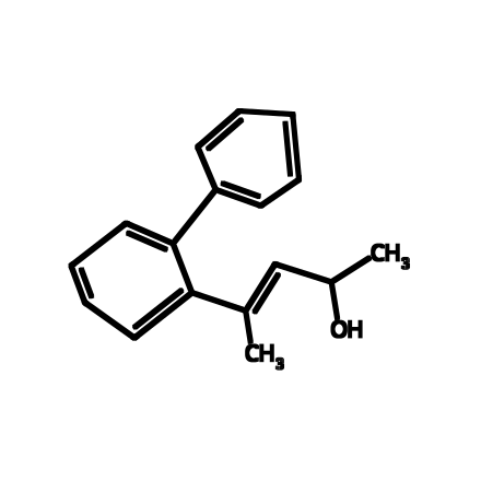 CC(=CC(C)O)c1ccccc1-c1ccccc1